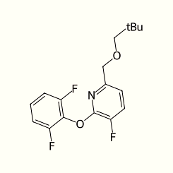 CC(C)(C)COCc1ccc(F)c(Oc2c(F)cccc2F)n1